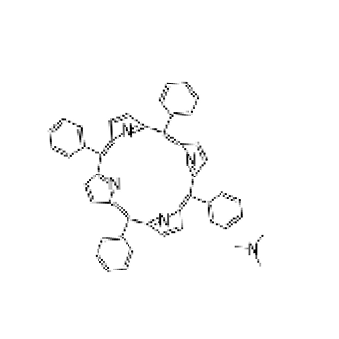 C1=CC2=C(c3ccccc3)C3=NC(=C(c4ccccc4)C4=NC(=C(c5ccccc5)C5=NC(=C(c6ccccc6)C1=N2)C=C5)C=C4)C=C3.CN(C)C